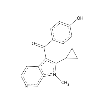 Cn1c(C2CC2)c(C(=O)c2ccc(O)cc2)c2ccncc21